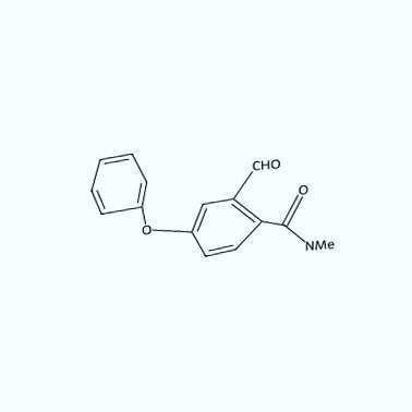 CNC(=O)c1ccc(Oc2ccccc2)cc1C=O